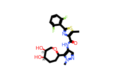 Cc1sc(-c2c(F)cccc2F)nc1C(=O)Nc1cnn(C)c1C1CC[C@@H](O)[C@@H](O)CO1